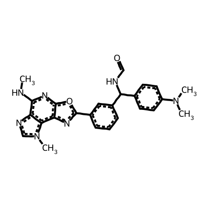 CNc1nc2oc(-c3cccc(C(NC=O)c4ccc(N(C)C)cc4)c3)nc2c2c1ncn2C